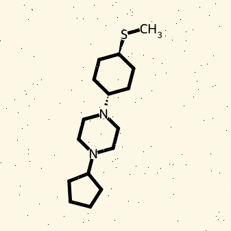 CS[C@H]1CC[C@H](N2CCN(C3CCCC3)CC2)CC1